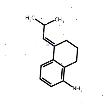 CC(C)/C=C1\CCCc2c(N)cccc21